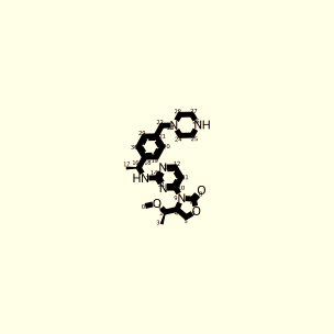 CO[C@H](C)C1COC(=O)N1c1ccnc(N[C@@H](C)c2ccc(CN3CCNCC3)cc2)n1